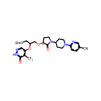 COCC(CO[C@H]1CCN(C2CCN(c3ccc(C#N)cn3)CC2)C1=O)Oc1cn[nH]c(=O)c1C(F)(F)F